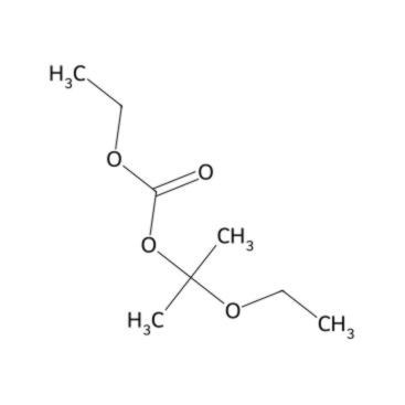 CCOC(=O)OC(C)(C)OCC